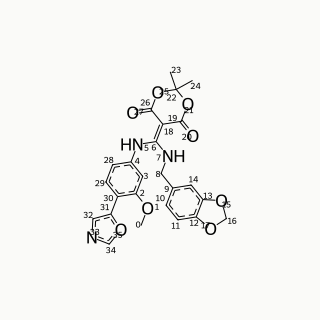 COc1cc(NC(NCc2ccc3c(c2)OCO3)=C2C(=O)OC(C)(C)OC2=O)ccc1-c1cnco1